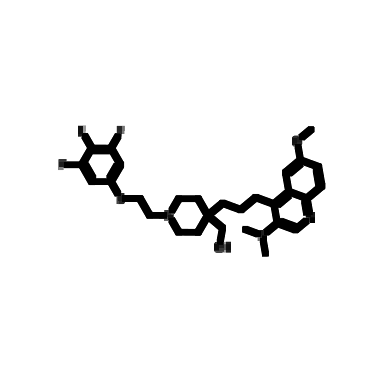 COc1ccc2ncc(N(C)C)c(CCCC3(CO)CCN(CCSc4cc(F)c(F)c(F)c4)CC3)c2c1